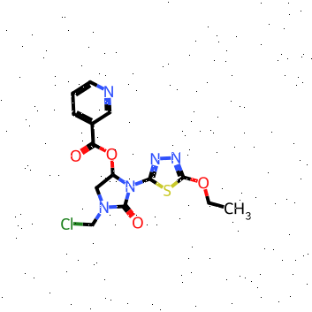 CCOc1nnc(N2C(=O)N(CCl)CC2OC(=O)c2cccnc2)s1